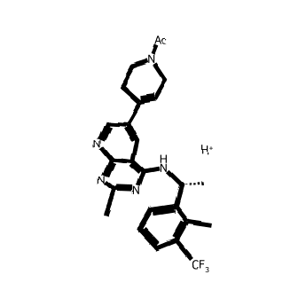 CC(=O)N1CC=C(c2cnc3nc(C)nc(N[C@H](C)c4cccc(C(F)(F)F)c4C)c3c2)CC1.[H+]